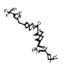 O=C(N1CC2(CC(Cn3cc(C(F)(F)F)nn3)C2)C1)N1CC2(CC(c3nc(C4CC(F)(F)C4)n[nH]3)C2)C1